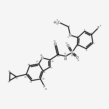 CCOc1cc(F)ccc1S(=O)(=O)NC(=O)c1cc2c(F)cc(C3CC3)cc2o1